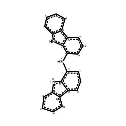 c1ccc2c(c1)[nH]c1c([SiH]c3cccc4c3[nH]c3ccccc34)cccc12